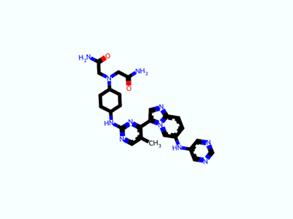 Cc1cnc(NC2CCC(N(CC(N)=O)CC(N)=O)CC2)nc1-c1cnc2ccc(Nc3cncnc3)cn12